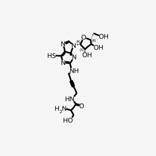 NC(CO)C(=O)NCC#CCNc1nc(S)c2ncn([C@@H]3O[C@H](CO)C(O)[C@@H]3O)c2n1